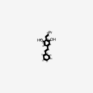 CC(C)/C=C/c1c(O)cc(/C=C/c2ccccc2)cc1O